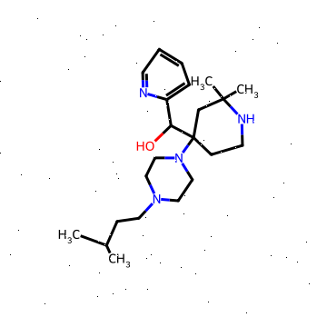 CC(C)CCN1CCN(C2(C(O)c3ccccn3)CCNC(C)(C)C2)CC1